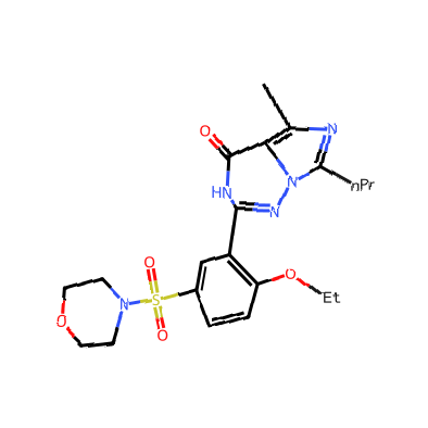 CCCc1nc(C)c2c(=O)[nH]c(-c3cc(S(=O)(=O)N4CCOCC4)ccc3OCC)nn12